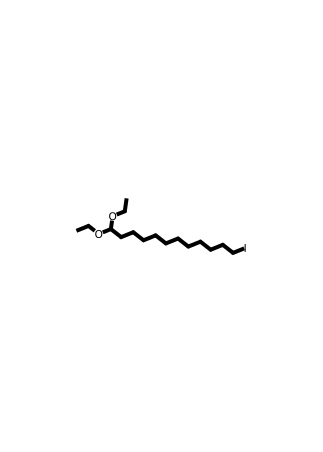 CCOC(CCCCCCCCCCCI)OCC